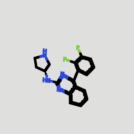 Fc1cccc(-c2nc(N[C@@H]3CCNC3)nc3ccccc23)c1F